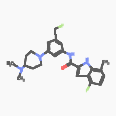 Cc1ccc(F)c2cc(C(=O)Nc3cc(CF)cc(N4CCC(N(C)C)CC4)c3)[nH]c12